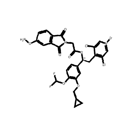 NOc1ccc2c(c1)C(=O)N(CC(=O)O[C@@H](Cc1c(Cl)c[n+]([O-])cc1Cl)c1ccc(OC(F)F)c(OCC3CC3)c1)C2=O